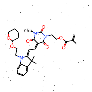 C=C(C)C(=O)OCCN1C(=O)/C(=C/C=C2/N(CCOC3CCCCO3)c3ccccc3C2(C)C)C(=O)N(CCCC)C1=O